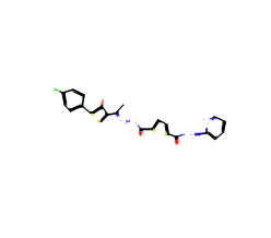 C/C(=N\NC(=O)c1ccc(C(=O)NCc2ccccn2)s1)c1csc(-c2ccc(Cl)cc2)c1O